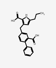 CCCc1cc(Cc2ccc(-c3ccccc3)c(C(=O)O)c2)c(C(=O)O)[nH]1